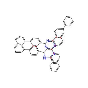 c1ccc(-c2ccc(-c3nc(-c4ccccc4)nc(-c4ccc(-c5cccc6cccc(-c7ccc(-c8cc(-c9ccccc9)nc(-c9ccccc9)n8)cc7)c56)cc4)n3)cc2)cc1